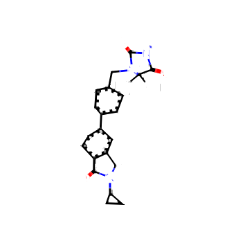 CCN1C(=O)N(Cc2ccc(-c3ccc4c(c3)CN(C3CC3)C4=O)cc2)C(C)(C)C1=O